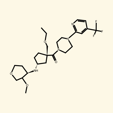 CCOC[C@]1(C(=O)N2CCN(c3cc(C(F)(F)F)ccn3)CC2)CC[C@@H](N[C@@H]2CCOCC2OC)C1